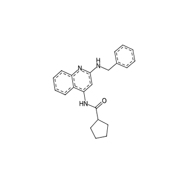 O=C(Nc1cc(NCc2ccccc2)nc2ccccc12)C1CCCC1